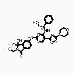 CCN1C(=O)c2ccc(Nc3ncc(-c4nc(N5CCOCC5)no4)c(N[C@H](CO)c4ccccc4)n3)cc2C1(C)C